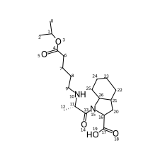 CC(C)OC(=O)CCCCN[C@@H](C)C(=O)N1C(C(=O)O)CC2CCCCC21